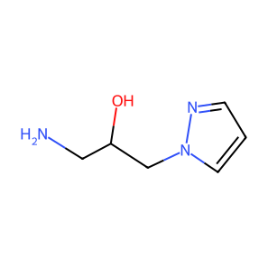 NCC(O)Cn1cccn1